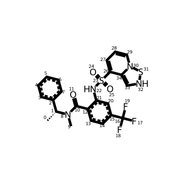 C[C@H](c1ccccc1)N(C)C(=O)c1ccc(C(F)(F)F)cc1NS(=O)(=O)C1=CC=CN2SNC=C12